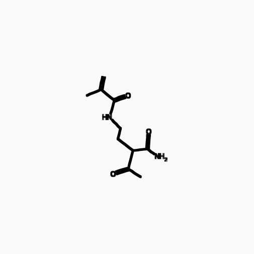 C=C(C)C(=O)NCCC(C(C)=O)C(N)=O